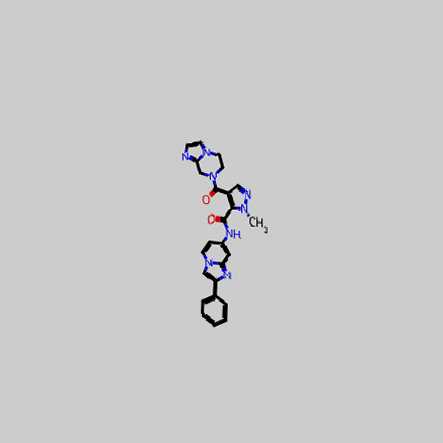 Cn1ncc(C(=O)N2CCn3ccnc3C2)c1C(=O)Nc1ccn2cc(-c3ccccc3)nc2c1